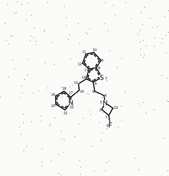 FC1CN(CCc2sc3ccccc3c2CCc2ccccn2)C1